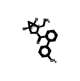 Cc1cccc(-c2ccccc2C(=O)N2C[C@@H]3C[C@@H]3[C@H]2CN)c1